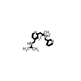 CC(C)NCc1ccnc(CC(C)(C)NCc2cccnc2)c1